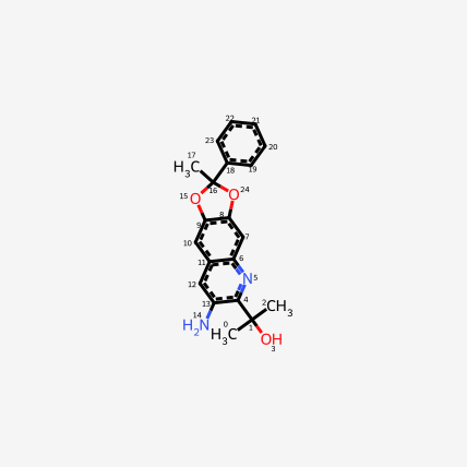 CC(C)(O)c1nc2cc3c(cc2cc1N)OC(C)(c1ccccc1)O3